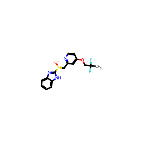 [O-][S+](Cc1cc(OCC(F)(F)C(F)(F)F)ccn1)c1nc2ccccc2[nH]1